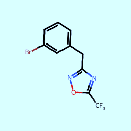 FC(F)(F)c1nc(Cc2c[c]cc(Br)c2)no1